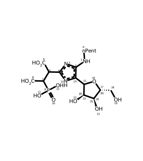 CCCCCNc1nc(C(C(=O)O)C(C(=O)O)P(=O)(O)O)[nH]c1C1O[C@H](CO)[C@@H](O)[C@H]1O